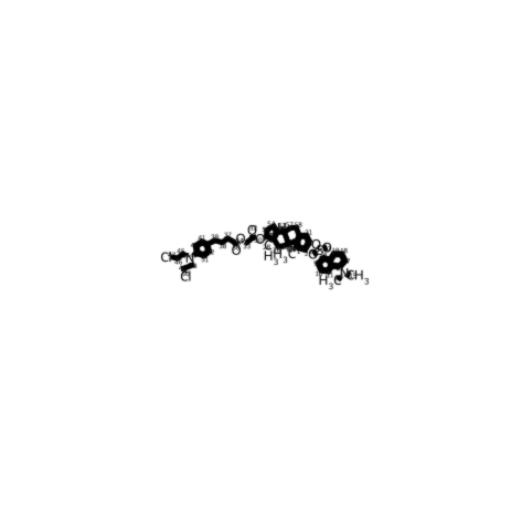 Cc1cc(OS(=O)(=O)c2cccc3c(N(C)C)cccc23)cc2c1[C@H]1CC[C@]3(C)[C@@H](OC(=O)COC(=O)CCCc4ccc(N(CCCl)CCCl)cc4)CC[C@H]3[C@@H]1CC2